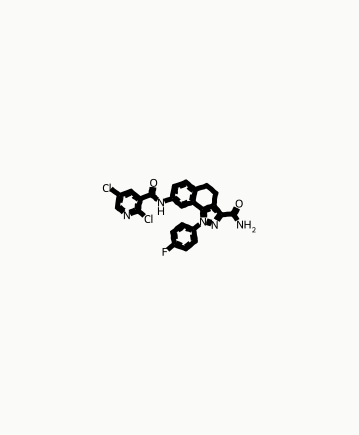 NC(=O)c1nn(-c2ccc(F)cc2)c2c1CCc1ccc(NC(=O)c3cc(Cl)cnc3Cl)cc1-2